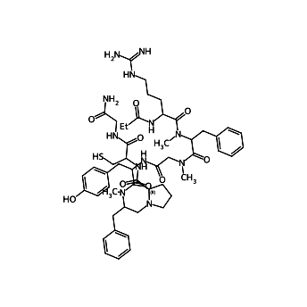 CCC(=O)NC(CCCNC(=N)N)C(=O)N(C)C(Cc1ccccc1)C(=O)N(C)CC(=O)NC(Cc1ccc(O)cc1)C(=O)N(C)C(Cc1ccccc1)CN1CCC[C@@H]1C(=O)NC(CS)C(=O)NCC(N)=O